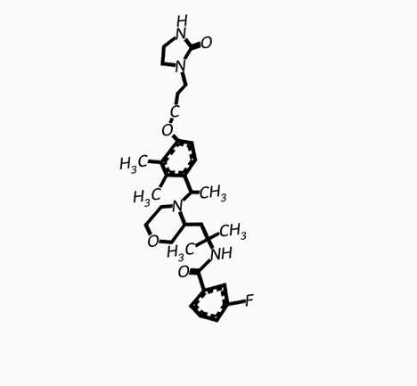 Cc1c(OCCCN2CCNC2=O)ccc(C(C)N2CCOCC2CC(C)(C)NC(=O)c2cccc(F)c2)c1C